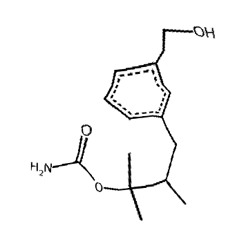 CC(Cc1cccc(CO)c1)C(C)(C)OC(N)=O